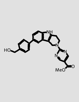 COC(=O)c1cnc(N2CCc3[nH]c4ccc(-c5ccc(CO)cc5)cc4c3C2)nc1